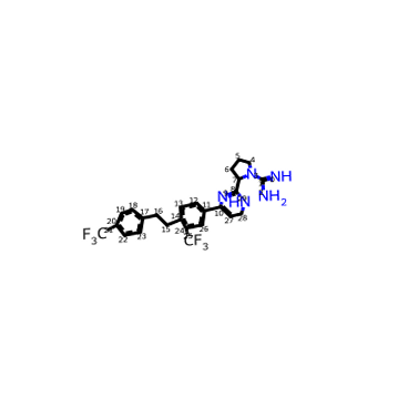 N=C(N)N1CCCC1C1=NC(c2ccc(CCc3ccc(C(F)(F)F)cc3)c(C(F)(F)F)c2)=CCN1